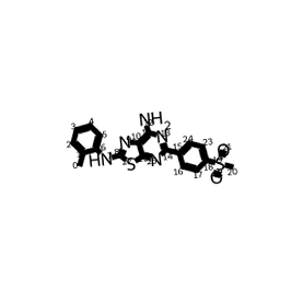 Cc1ccccc1Nc1nc2c(N)nc(-c3ccc(S(C)(=O)=O)cc3)nc2s1